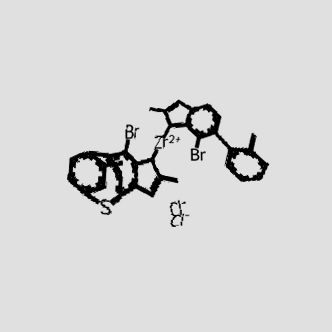 CC1=Cc2ccc(-c3ccccc3C)c(Br)c2[CH]1[Zr+2][CH]1C(C)=Cc2c3cc(c(Br)c21)-c1ccc(cc1C)S3.[Cl-].[Cl-]